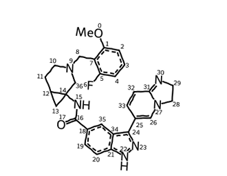 COc1cccc(F)c1CN1CCC2CC2(NC(=O)c2ccc3[nH]nc(C4=CN5CCN=C5C=C4)c3c2)C1